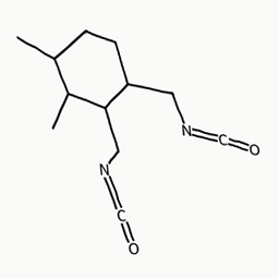 CC1CCC(CN=C=O)C(CN=C=O)C1C